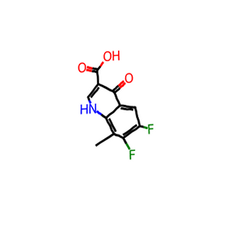 Cc1c(F)c(F)cc2c(=O)c(C(=O)O)c[nH]c12